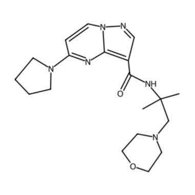 CC(C)(CN1CCOCC1)NC(=O)c1cnn2ccc(N3CCCC3)nc12